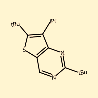 CC(C)c1c(C(C)(C)C)sc2cnc(C(C)(C)C)nc12